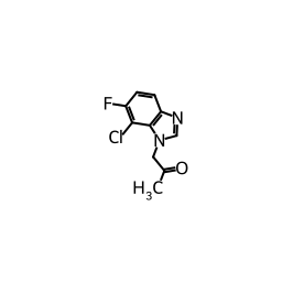 CC(=O)Cn1cnc2ccc(F)c(Cl)c21